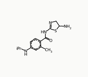 Cc1cc(NC(C)C)ccc1C(=O)NC1=NCC(N)S1